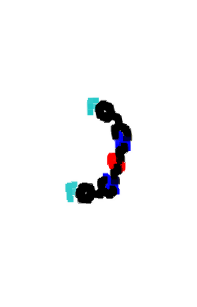 Fc1ccc(CC2CCN(CCCOCCCN3CCC(Cc4ccc(F)cc4)CC3)CC2)cc1